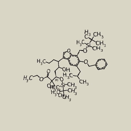 CCCC(c1coc2c(CO[Si](C)(C)C(C)(C)C)c(OCc3ccccc3)c(CC(C)C)cc12)C(O)C[C@@H](O[Si](C)(C)C(C)(C)C)C1(C(=O)OCC)O[C@H]1CC